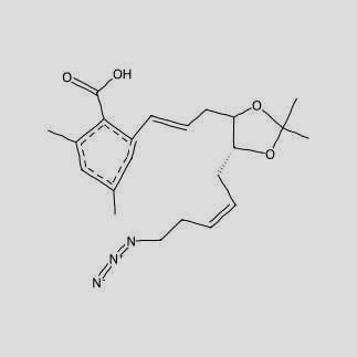 Cc1cc(C)c(C(=O)O)c(/C=C/CC2OC(C)(C)O[C@@H]2C/C=C\CCN=[N+]=[N-])c1